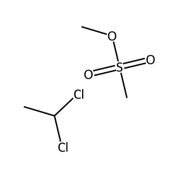 CC(Cl)Cl.COS(C)(=O)=O